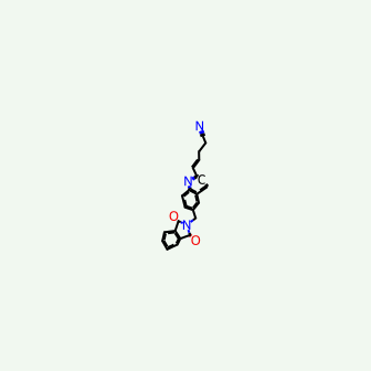 N#CCC/C=C/c1ccc2cc(CN3C(=O)c4ccccc4C3=O)ccc2n1